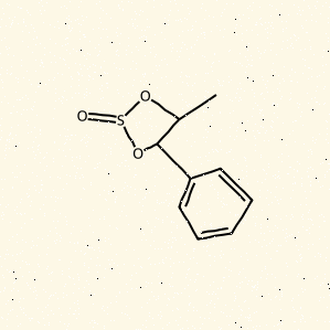 CC1OS(=O)OC1c1ccccc1